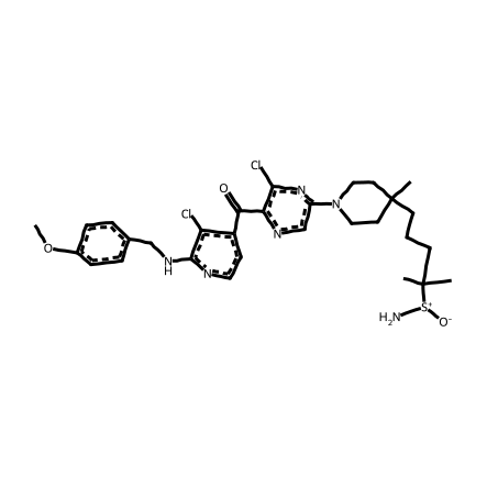 COc1ccc(CNc2nccc(C(=O)c3ncc(N4CCC(C)(CCCC(C)(C)[S+](N)[O-])CC4)nc3Cl)c2Cl)cc1